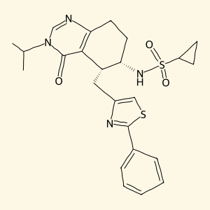 CC(C)n1cnc2c(c1=O)[C@@H](Cc1csc(-c3ccccc3)n1)[C@@H](NS(=O)(=O)C1CC1)CC2